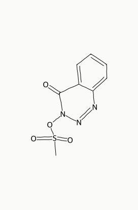 CS(=O)(=O)On1nnc2ccccc2c1=O